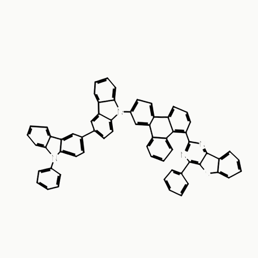 c1ccc(-c2nc(-c3cccc4c5ccc(-n6c7ccccc7c7cc(-c8ccc9c(c8)c8ccccc8n9-c8ccccc8)ccc76)cc5c5ccccc5c34)nc3c2sc2ccccc23)cc1